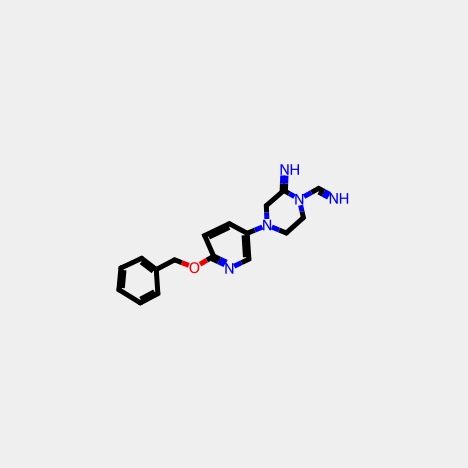 N=CN1CCN(c2ccc(OCc3ccccc3)nc2)CC1=N